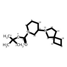 CC(C)(C)OC(=O)N1CCCC(N2CCC3(CCC3)C2)C1